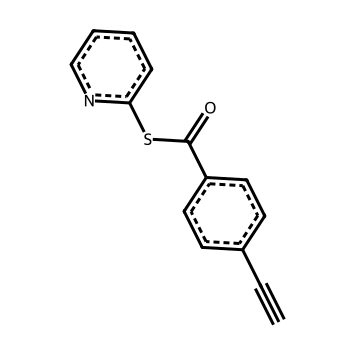 C#Cc1ccc(C(=O)Sc2ccccn2)cc1